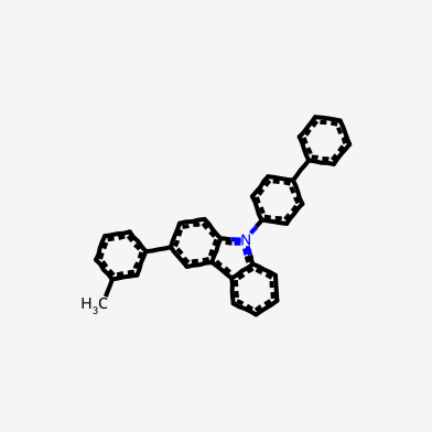 Cc1cccc(-c2ccc3c(c2)c2ccccc2n3-c2ccc(-c3ccccc3)cc2)c1